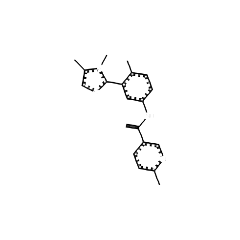 Cc1ccc(C(=O)Nc2ccc(Cl)c(-c3ncc(C)n3C)c2)cn1